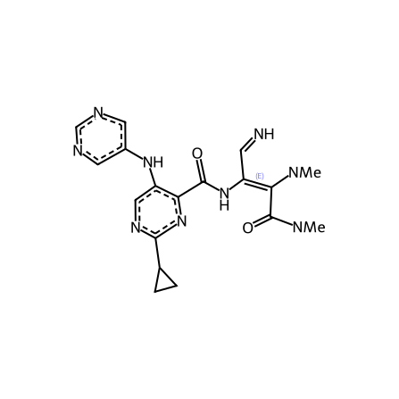 CNC(=O)/C(NC)=C(/C=N)NC(=O)c1nc(C2CC2)ncc1Nc1cncnc1